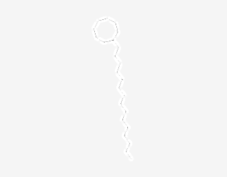 CCCCCCCCCCCCCCCC1CCCCCCC1